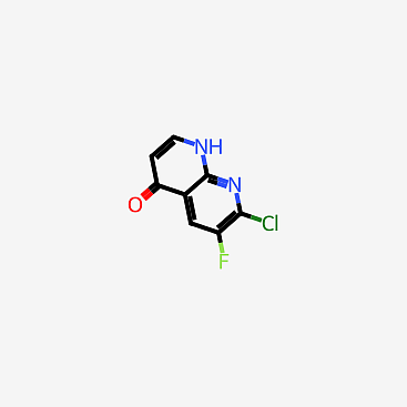 O=c1cc[nH]c2nc(Cl)c(F)cc12